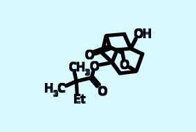 CCC(C)(C)C(=O)OC12CC3CC(O)(CC(C1)C(=O)CO3)C2